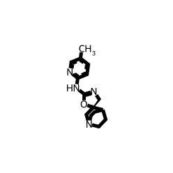 Cc1ccc(NC2=NC[C@@]3(CN4CCC3CC4)O2)nc1